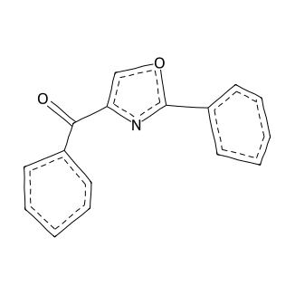 O=C(c1ccccc1)c1coc(-c2ccccc2)n1